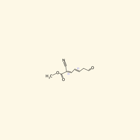 COC(=O)/C(C#N)=C/C=C/CC=O